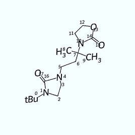 CC(C)(C)N1CCN(CCC(C)(C)N2CCOC2=O)C1=O